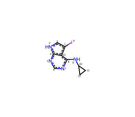 Ic1c[nH]c2ncnc(NC3CC3)c12